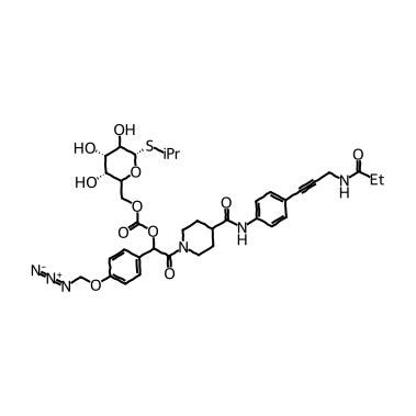 CCC(=O)NCC#Cc1ccc(NC(=O)C2CCN(C(=O)C(OC(=O)OCC3O[C@@H](SC(C)C)C(O)[C@@H](O)[C@H]3O)c3ccc(OCN=[N+]=[N-])cc3)CC2)cc1